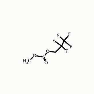 COS(=O)OCC(F)(F)C(F)(F)F